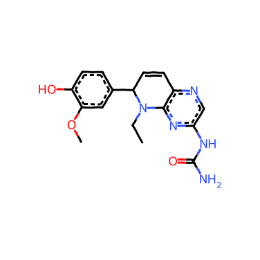 CCN1c2nc(NC(N)=O)cnc2C=CC1c1ccc(O)c(OC)c1